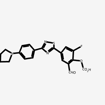 O=Cc1cc(-c2nc(-c3ccc(N4CCCC4)cc3)ns2)cc(F)c1OC(=O)O